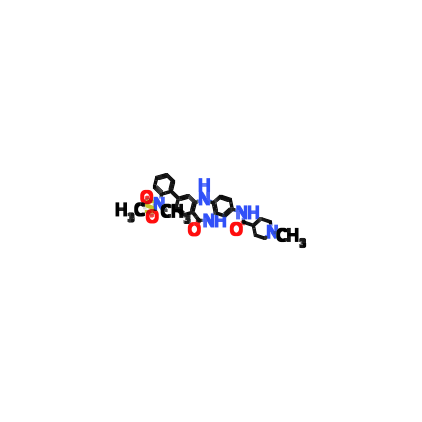 CN1CCC(C(=O)Nc2ccc3c(c2)NC(=O)c2ccc(-c4ccccc4N(C)S(C)(=O)=O)cc2N3)CC1